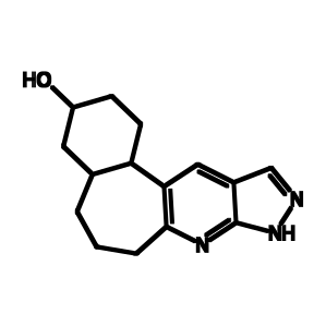 OC1CCC2c3cc4cn[nH]c4nc3CCCC2C1